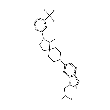 CC1N(c2cc(C(F)(F)F)ccn2)CCC12CCN(c1cnc3cnn(CC(F)F)c3n1)CC2